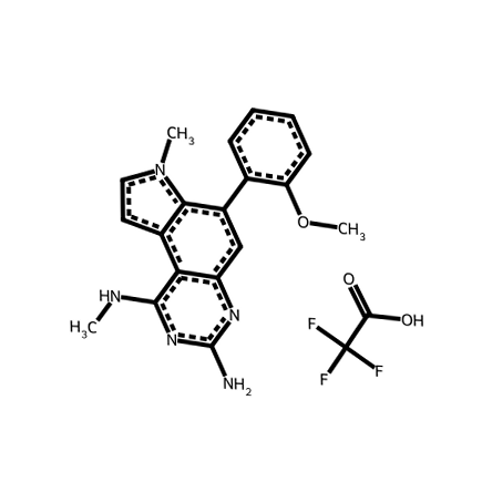 CNc1nc(N)nc2cc(-c3ccccc3OC)c3c(ccn3C)c12.O=C(O)C(F)(F)F